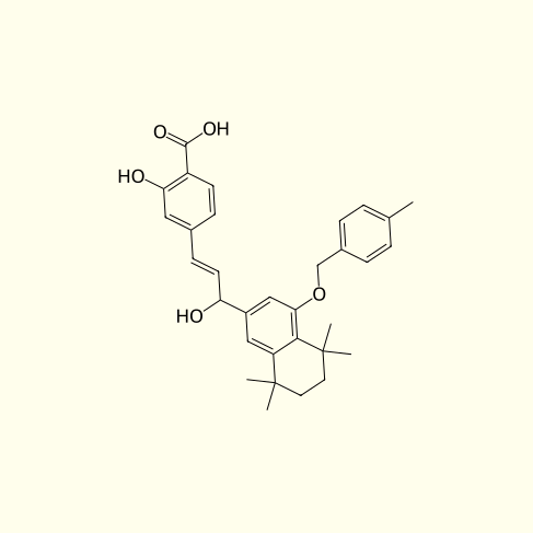 Cc1ccc(COc2cc(C(O)/C=C/c3ccc(C(=O)O)c(O)c3)cc3c2C(C)(C)CCC3(C)C)cc1